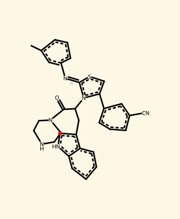 Cc1cccc(/N=c2\scc(-c3cccc(C#N)c3)n2C(Cc2c[nH]c3ccccc23)C(=O)N2CCNCC2)c1